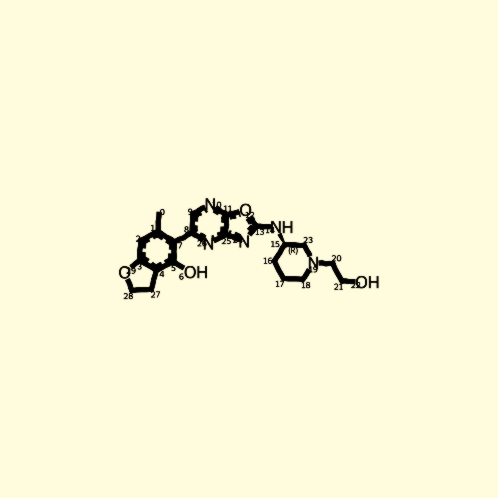 Cc1cc2c(c(O)c1-c1cnc3oc(N[C@@H]4CCCN(CCO)C4)nc3n1)CCO2